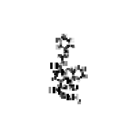 Nc1n[nH]c2c1c(=O)n(-c1ccccc1F)c1nc(NCCOc3ccccc3)ncc21